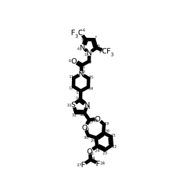 O=C(Cn1nc(C(F)(F)F)cc1C(F)(F)F)N1CCC(c2nc(C3OCc4cccc(OC(F)F)c4CO3)cs2)CC1